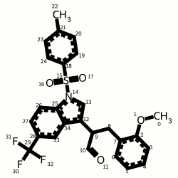 COc1ccccc1CC(C=O)c1cn(S(=O)(=O)c2ccc(C)cc2)c2ccc(C(F)(F)F)cc12